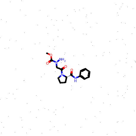 COC(=O)N(N)CC(=O)N1CCC[C@H]1C(=O)Nc1ccccc1